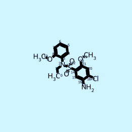 CCN(c1ccccc1OC)S(=O)(=O)c1cc(N)c(Cl)cc1OC